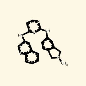 CN1Cc2ccc(Nc3nccc(Nc4cnc5ccccc5c4)n3)cc2C1